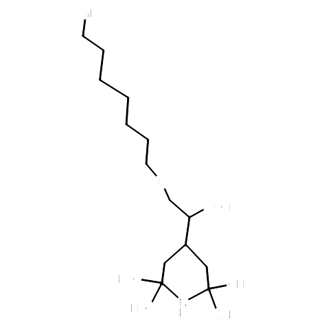 CCCCCCCCCCCCCCCCCCCC(C(=O)O)C1CC(C)(C)NC(C)(C)C1